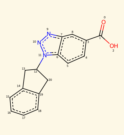 O=C(O)c1ccc2c(c1)nnn2C1Cc2ccccc2C1